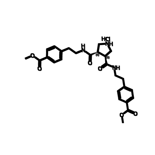 COC(=O)c1ccc(CCNC(=O)[C@@H]2CNC[C@H]2C(=O)NCCc2ccc(C(=O)OC)cc2)cc1.Cl